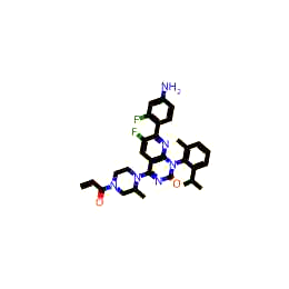 C=CC(=O)N1CCN(c2nc(=O)n(-c3c(C)cccc3C(C)C)c3nc(-c4ccc(N)cc4F)c(F)cc23)C(C)C1